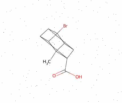 CC12C3C4C5C(C1C53Br)C42C(=O)O